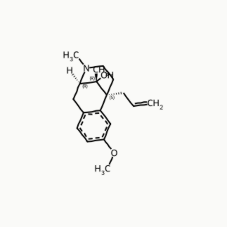 C=CC[C@]12CCN(C)[C@H](Cc3ccc(OC)cc31)[C@]2(C)O